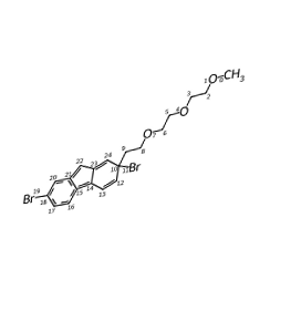 COCCOCCOCCC1(Br)C=CC2=c3ccc(Br)cc3=CC2=C1